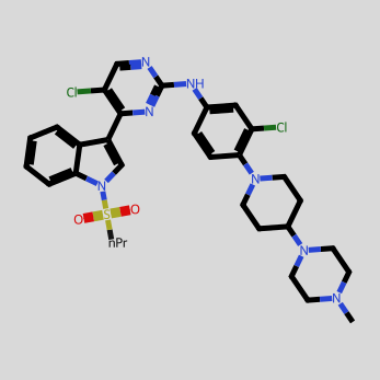 CCCS(=O)(=O)n1cc(-c2nc(Nc3ccc(N4CCC(N5CCN(C)CC5)CC4)c(Cl)c3)ncc2Cl)c2ccccc21